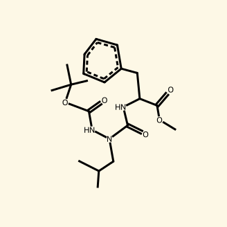 COC(=O)C(Cc1ccccc1)NC(=O)N(CC(C)C)NC(=O)OC(C)(C)C